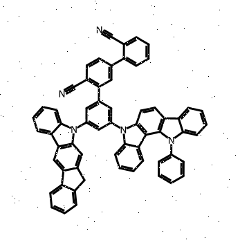 N#Cc1ccccc1-c1ccc(C#N)c(-c2cc(-n3c4ccccc4c4cc5c(cc43)Cc3ccccc3-5)cc(-n3c4ccccc4c4c3ccc3c5ccccc5n(-c5ccccc5)c34)c2)c1